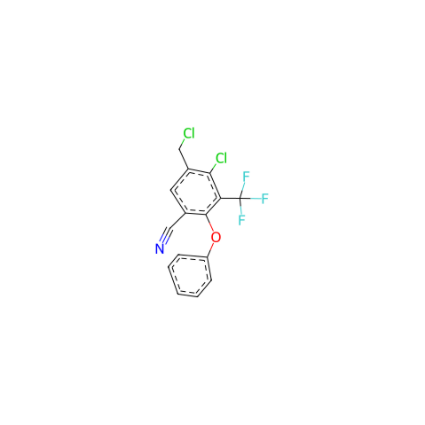 N#Cc1cc(CCl)c(Cl)c(C(F)(F)F)c1Oc1ccccc1